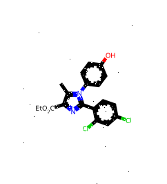 CCOC(=O)c1nc(-c2ccc(Cl)cc2Cl)n(-c2ccc(O)cc2)c1C